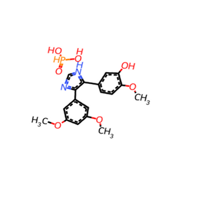 COc1cc(OC)cc(-c2nc[nH]c2-c2ccc(OC)c(O)c2)c1.O=[PH](O)O